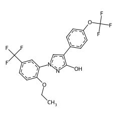 CCOc1ccc(C(F)(F)F)cc1-n1cc(-c2ccc(OC(F)(F)F)cc2)c(O)n1